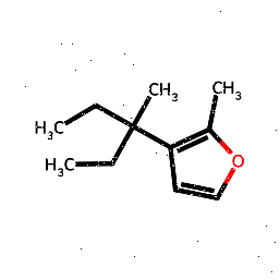 CCC(C)(CC)c1ccoc1C